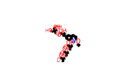 C=C(C)C(=O)O.C=C(C)C(=O)O.C=C(C)C(=O)O.C=C(C)C(=O)O.CCOc1ccc2ccccc2n1.OCC(CO)(CO)CO